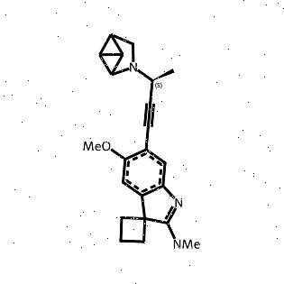 CNC1=Nc2cc(C#C[C@H](C)N3CC4C5C4C53)c(OC)cc2C12CCC2